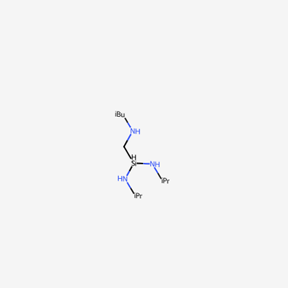 CCC(C)NC[SiH](NC(C)C)NC(C)C